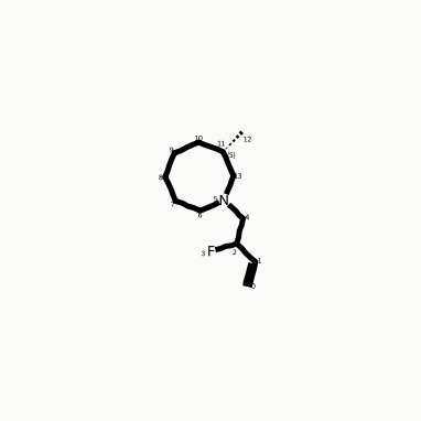 C=CC(F)CN1CCCCC[C@H](C)C1